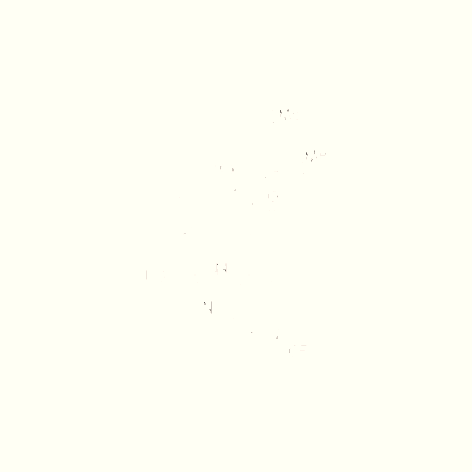 COCC(Oc1ccc(-n2c(C)nc3cc(C(F)(F)F)ccc32)cc1)C(=O)OC